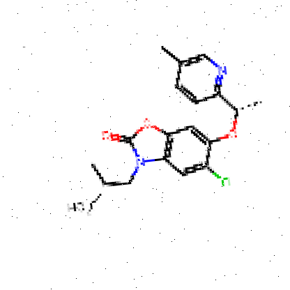 Cc1ccc([C@H](C)Oc2cc3oc(=O)n(C[C@@H](C)C(=O)O)c3cc2Cl)nc1